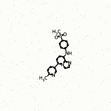 Cc1ccc(-c2ccc(Nc3ccc(S(C)(=O)=O)cc3)c3nccn23)cn1